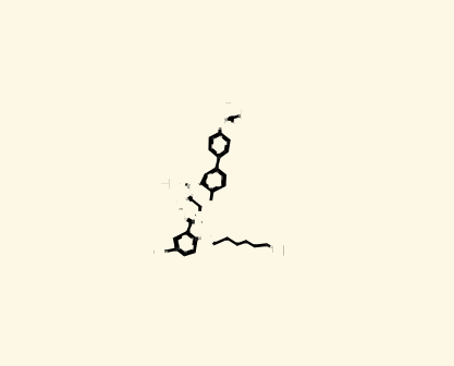 CCCCCCCOc1ccc(Cl)cc1C(=O)N[C@@H](Cc1ccc(-c2ccc(OC(F)(F)F)cc2)cc1)C(=O)OC